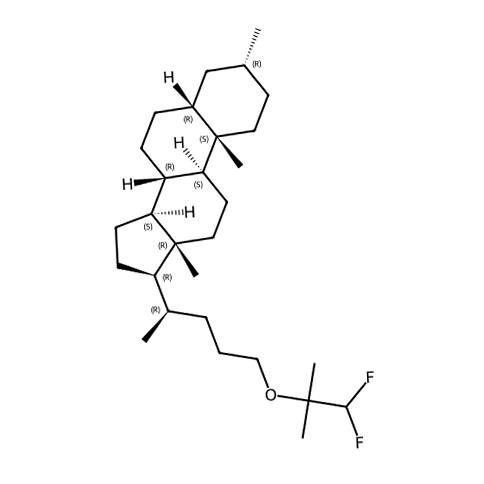 C[C@@H]1CC[C@@]2(C)[C@H](CC[C@@H]3[C@@H]2CC[C@]2(C)[C@@H]([C@H](C)CCCOC(C)(C)C(F)F)CC[C@@H]32)C1